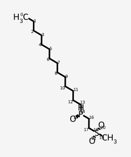 CCCCCCCCCCCCCC[PH](=O)CCS(C)(=O)=O